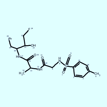 Cc1ccc(S(=O)(=O)NCC(=O)NC(C)C(=O)NC(CC(C)C)C(O)CF)cc1